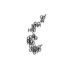 C=CCOC(=O)N[C@H](C(=O)N[C@@H](C)C(=O)Nc1ccc2c(c1)N1C(=O)c3cc(OC)c(OCCCC(=O)Nc4cn(C)c(C(=O)Nc5ccc(-c6cc(C(=O)OCC=C)n(C)c6)cc5)n4)cc3N(C(=O)O)[C@@H](OC)[C@@H]1C2)C(C)C